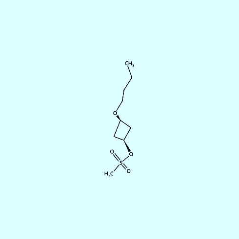 CCCCO[C@H]1C[C@@H](OS(C)(=O)=O)C1